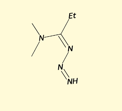 CC/C(=N/N=N)N(C)C